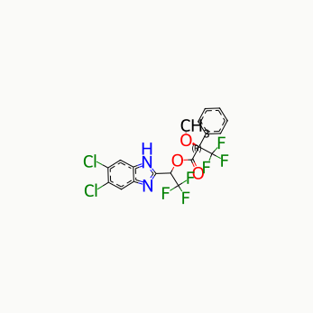 CO[C@@](C(=O)OC(c1nc2cc(Cl)c(Cl)cc2[nH]1)C(F)(F)F)(c1ccccc1)C(F)(F)F